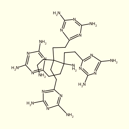 NCCC(CCc1nc(N)nc(N)n1)(CCc1nc(N)nc(N)n1)C(N)(CCc1nc(N)nc(N)n1)CCc1nc(N)nc(N)n1